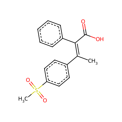 CC(=C(C(=O)O)c1ccccc1)c1ccc(S(C)(=O)=O)cc1